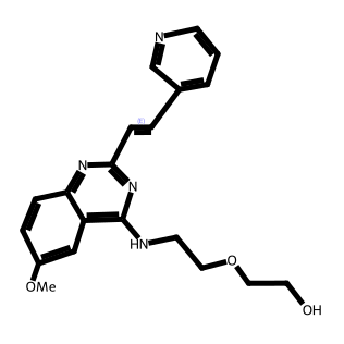 COc1ccc2nc(/C=C/c3cccnc3)nc(NCCOCCO)c2c1